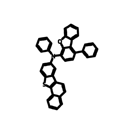 c1ccc(-c2ccc(N(c3ccccc3)c3ccc4sc5c6ccccc6ccc5c4c3)c3oc4ccccc4c23)cc1